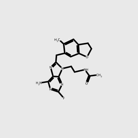 CC(=O)NCCn1c(Cc2cc3c(cc2C)CCO3)nc2c(N)nc(F)nc21